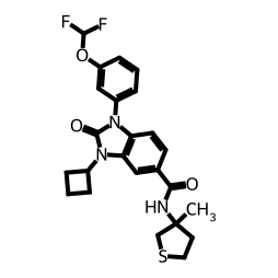 CC1(NC(=O)c2ccc3c(c2)n(C2CCC2)c(=O)n3-c2cccc(OC(F)F)c2)CCSC1